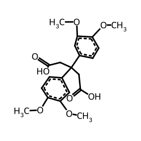 COc1ccc(C(CC(=O)O)(CC(=O)O)c2ccc(OC)c(OC)c2)cc1OC